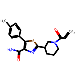 C=CC(=O)N1CCCC(c2nc(C(N)=O)c(-c3ccc(C)cc3)s2)C1